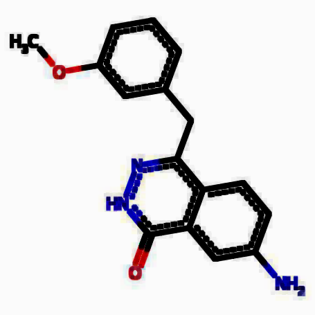 COc1cccc(Cc2n[nH]c(=O)c3cc(N)ccc23)c1